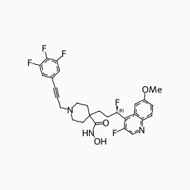 COc1ccc2ncc(F)c([C@H](F)CCC3(C(=O)NO)CCN(CC#Cc4cc(F)c(F)c(F)c4)CC3)c2c1